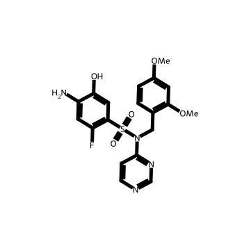 COc1ccc(CN(c2ccncn2)S(=O)(=O)c2cc(O)c(N)cc2F)c(OC)c1